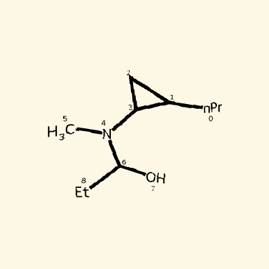 CCCC1CC1N(C)C(O)CC